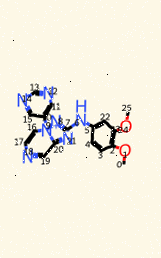 COc1ccc(NC2=N[N+]3(c4cncnc4)C=CN=CC3=N2)cc1OC